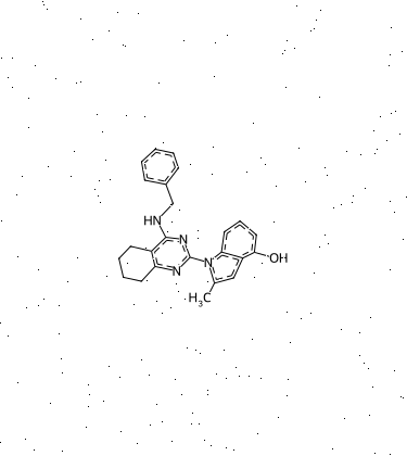 Cc1cc2c(O)cccc2n1-c1nc2c(c(NCc3ccccc3)n1)CCCC2